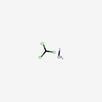 CI.ClC(Cl)Cl